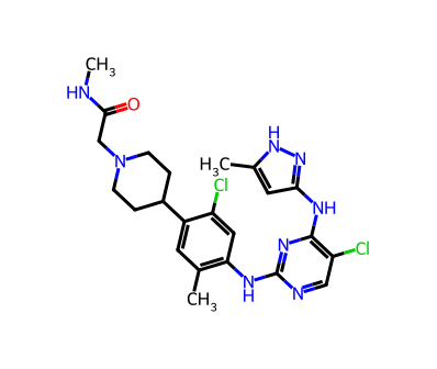 CNC(=O)CN1CCC(c2cc(C)c(Nc3ncc(Cl)c(Nc4cc(C)[nH]n4)n3)cc2Cl)CC1